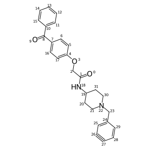 O=C(COc1ccc(C(=O)c2ccccc2)cc1)NC1CCN(Cc2cc#ccc2)CC1